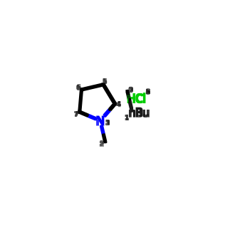 CCCCC.CN1CCCC1.Cl